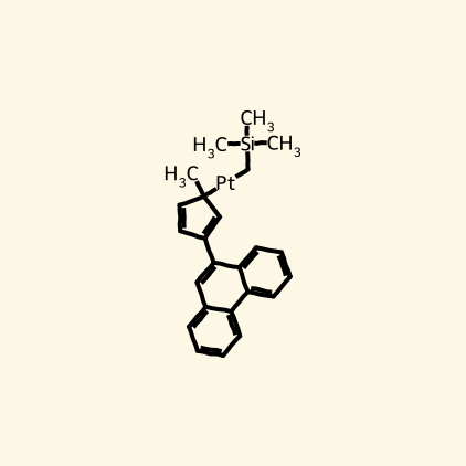 C[C]1([Pt][CH2][Si](C)(C)C)C=CC(c2cc3ccccc3c3ccccc23)=C1